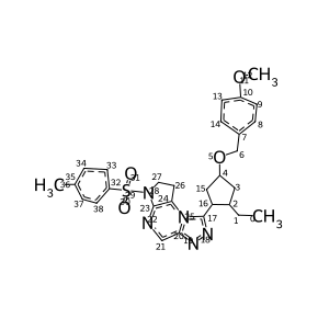 CCC1CC(OCc2ccc(OC)cc2)CC1c1nnc2cnc3c(n12)CCN3S(=O)(=O)c1ccc(C)cc1